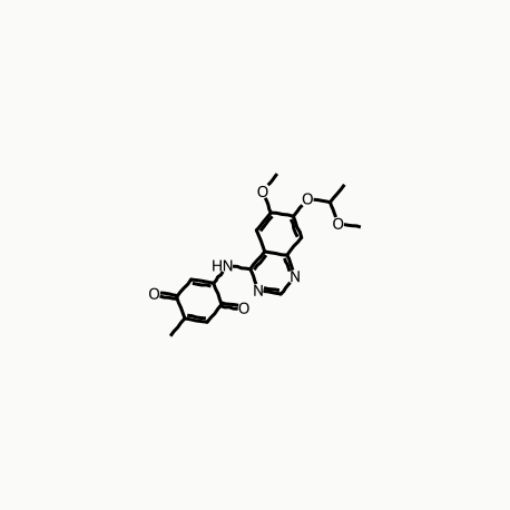 COc1cc2c(NC3=CC(=O)C(C)=CC3=O)ncnc2cc1OC(C)OC